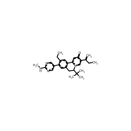 C=C(CC)c1cn2c(cc1=O)-c1cc(CC)c(-c3cnc(NC)nc3)cc1CC2C(C)(C)C